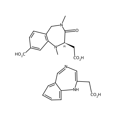 CN1Cc2ccc(C(=O)O)cc2N(C)[C@H](CC(=O)O)C1=O.O=C(O)CC1=CN=Cc2ccccc2N1